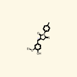 CCOc1cc(/C=C2\CC(=S)N(c3ccc(C)cc3)C2=O)ccc1O